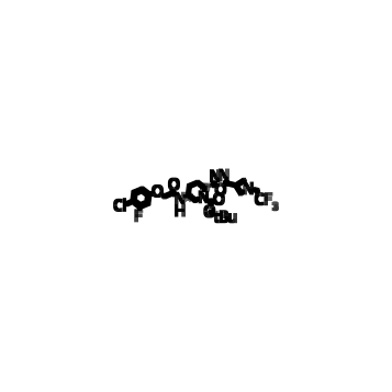 CC(C)(C)OC(=O)N1C[C@@H](NC(=O)COc2ccc(Cl)c(F)c2)CC[C@@H]1c1nnc(C2CN(CC(F)(F)F)C2)o1